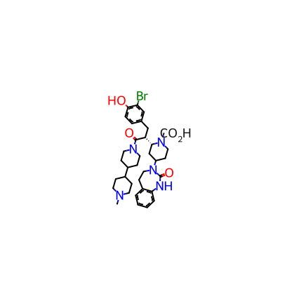 CN1CCC(C2CCN(C(=O)C(Cc3ccc(O)c(Br)c3)[C@H]3CC(N4CCc5ccccc5NC4=O)CCN3C(=O)O)CC2)CC1